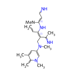 C=C/C(N/C(=C/C=N)NC)=C(\CN(C)C1=CN(C)C(=C)C(C)=C1)C(C)=N